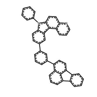 c1ccc(-n2c3ccc(-c4cccc(-c5ccc6c7c(cccc57)-c5ccccc5-6)c4)cc3c3c4cccnc4ccc32)cc1